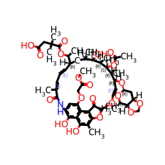 COC(=O)COc1cc2c(O)c3c(O)c(C)c4c(c13)C(=O)[C@@](C)(O/C=C/[C@H](O[C@H]1C[C@@H]3OCO[C@@H]3[C@@H](C)O1)[C@@H](C)[C@@H](OC(C)=O)[C@H](C)[C@H](O)[C@H](C)C[C@@H](C(C)OC(=O)C(C)(C)CC(=O)O)/C=C/C=C(/C)C(=O)N2)O4